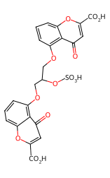 O=C(O)c1cc(=O)c2c(OCC(COc3cccc4oc(C(=O)O)cc(=O)c34)OS(=O)(=O)O)cccc2o1